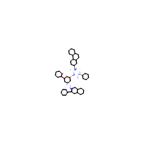 c1ccc(-c2nc(-c3ccc4c(ccc5ccccc54)c3)nc(-c3cc(-n4c5ccccc5c5cc6ccccc6cc54)cc4c3oc3ccccc34)n2)cc1